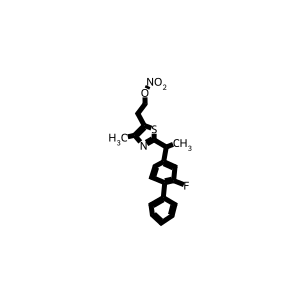 Cc1nc(C(C)c2ccc(-c3ccccc3)c(F)c2)sc1CCO[N+](=O)[O-]